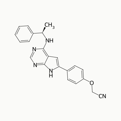 C[C@@H](Nc1ncnc2[nH]c(-c3ccc(OCC#N)cc3)cc12)c1ccccc1